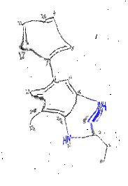 CCC1Nc2cc(-c3ccccc3)cc(C)c2N1